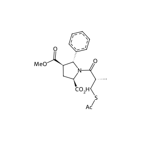 COC(=O)[C@@H]1C[C@H](C(=O)O)N(C(=O)[C@H](C)CSC(C)=O)[C@H]1c1ccccc1